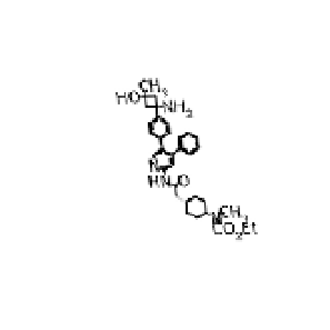 CCOC(=O)N(C)[C@H]1CC[C@H](CC(=O)Nc2cc(-c3ccccc3)c(-c3ccc([C@]4(N)C[C@](C)(O)C4)cc3)cn2)CC1